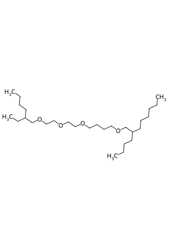 CCCCCCC(CCCC)COCCCCOCCOCCOCC(CC)CCCC